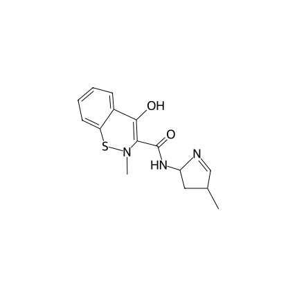 CC1C=NC(NC(=O)C2=C(O)c3ccccc3SN2C)C1